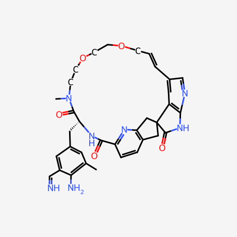 Cc1cc(C[C@H]2NC(=O)c3ccc4c(n3)CC3(C4)C(=O)Nc4ncc(cc43)/C=C/COCCOCCN(C)C2=O)cc(C=N)c1N